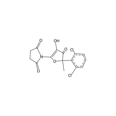 CC1(c2c(Cl)cccc2Cl)OC(N2C(=O)CCC2=O)=C(O)C1=O